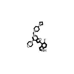 Fc1ccc2[nH]ccc2c1-c1cc2c(o1)CN(CN1CCC(N3CCC3)CC1)C=C2N1CCOCC1